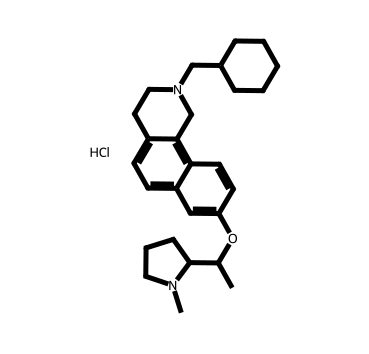 CC(Oc1ccc2c3c(ccc2c1)CCN(CC1CCCCC1)C3)C1CCCN1C.Cl